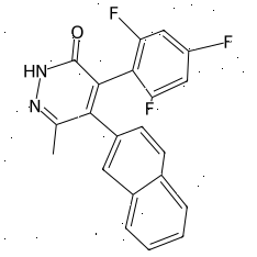 Cc1n[nH]c(=O)c(-c2c(F)cc(F)cc2F)c1-c1ccc2ccccc2c1